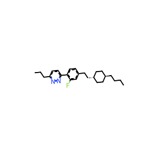 CCCC[C@H]1CC[C@H](CCc2ccc(-c3ccc(CCC)nn3)c(F)c2)CC1